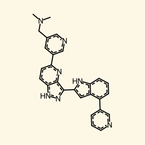 CN(C)Cc1cncc(-c2ccc3[nH]nc(-c4cc5c(-c6cccnc6)cccc5[nH]4)c3n2)c1